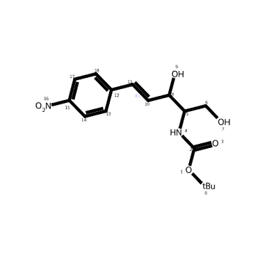 CC(C)(C)OC(=O)NC(CO)C(O)/C=C/c1ccc([N+](=O)[O-])cc1